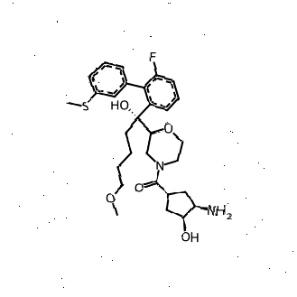 COCCCC[C@@](O)(c1cccc(F)c1-c1cccc(SC)c1)C1CN(C(=O)[C@H]2C[C@@H](N)[C@@H](O)C2)CCO1